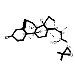 C[C@H]([C@H](O)C[C@@H]1OC1(C)C)[C@H]1CC[C@H]2[C@@H]3CC=C4CC(O)CC[C@]4(C)[C@H]3CC[C@]12C